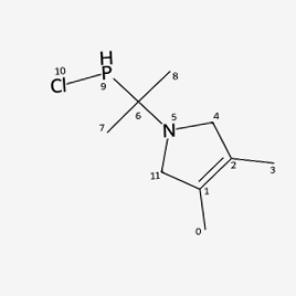 CC1=C(C)CN(C(C)(C)PCl)C1